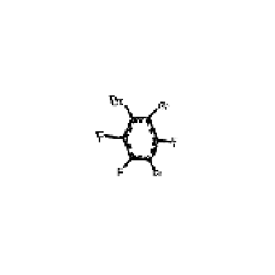 Fc1c(F)c(Br)c(Br)c(F)c1Br